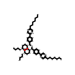 CCCCCCCc1cnc(-c2ccc(C(OC(c3ccc(-c4cnc(CCCCCCC)cn4)cc3)[C@H]3CC[C@H](CCCC)CC3)[C@H]3CC[C@H](CCCC)CC3)cc2)cn1